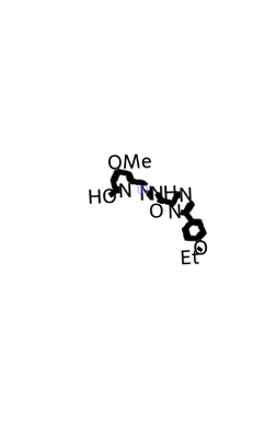 CCOc1ccc(-c2cncc(C(=O)N/N=C/c3cc(OC)cc(O)n3)n2)cc1